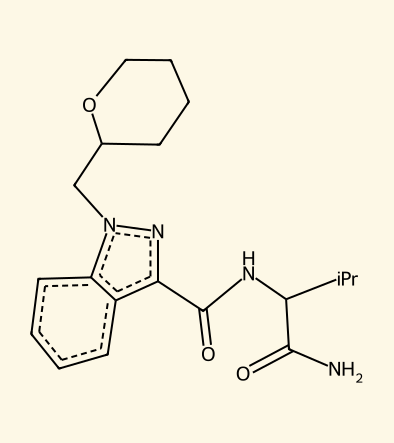 CC(C)C(NC(=O)c1nn(CC2CCCCO2)c2ccccc12)C(N)=O